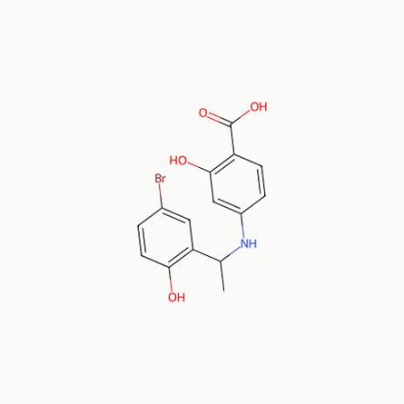 CC(Nc1ccc(C(=O)O)c(O)c1)c1cc(Br)ccc1O